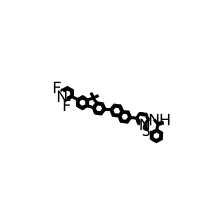 C=C1NC2C=CC(c3ccc4cc(-c5ccc6c(c5)C(C)(C)c5cc(-c7ccc(F)nc7F)ccc5-6)ccc4c3)=CN2Sc2ccccc21